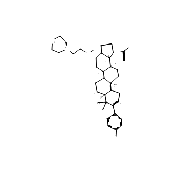 C=C(C)[C@@H]1CC[C@]2(CNCCN3CCNCC3)CC[C@]3(C)[C@H](CC[C@@H]4[C@@]5(C)CC=C(c6ccc(C(=O)O)cc6)C(C)(C)[C@@H]5CC[C@]43C)[C@@H]12